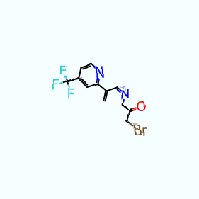 C=C(/C=N\CC(=O)CBr)c1cc(C(F)(F)F)ccn1